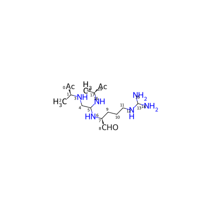 CC(=O)[C@H](C)NCC(N[C@H](C=O)CCCNC(N)N)N[C@@H](C)C(C)=O